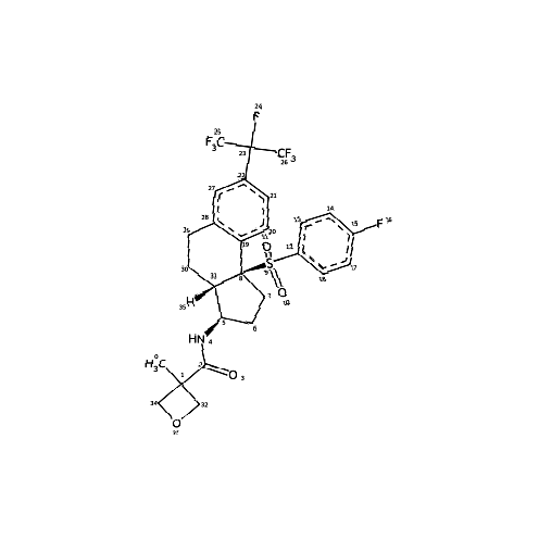 CC1(C(=O)N[C@@H]2CC[C@@]3(S(=O)(=O)c4ccc(F)cc4)c4ccc(C(F)(C(F)(F)F)C(F)(F)F)cc4CC[C@@H]23)COC1